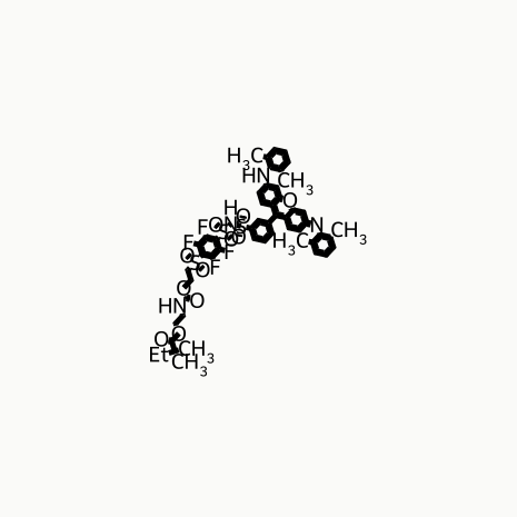 CCC(C)(C)C(=O)OCCNC(=O)OCCS(=O)(=O)c1c(F)c(F)c(S(=O)(=O)NS(=O)(=O)c2cccc(-c3c4cc/c(=N\c5c(C)cccc5C)cc-4oc4cc(Nc5c(C)cccc5C)ccc34)c2)c(F)c1F